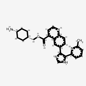 Cc1cccc(-c2[nH]cnc2-c2ccc3nccc(C(=O)OC[C@H]4CC[C@@H](N)CC4)c3c2)n1